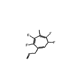 C=CCC1=CC(F)C(F)=C(C)C(F)=C1F